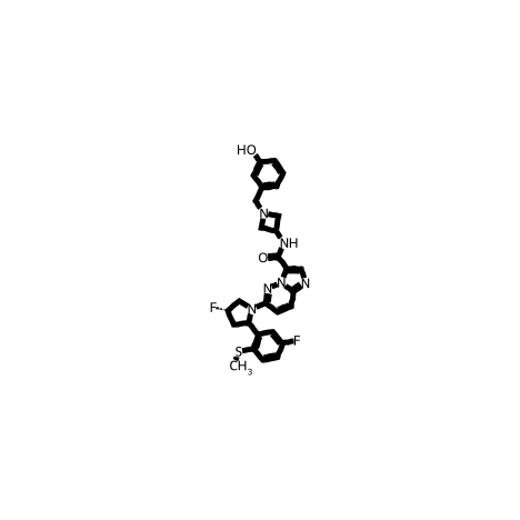 CSc1ccc(F)cc1C1C[C@H](F)CN1c1ccc2ncc(C(=O)NC3CN(Cc4cccc(O)c4)C3)n2n1